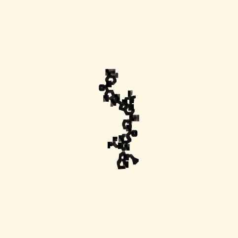 Cn1c(-c2cc3cc(N[C@@H]4CCCN(C(=O)c5cnc6c(c5)nc(-c5cc7cccnc7n5CC5CC5)n6CC(F)F)C4)cnc3n2CC(C)(F)F)nc2cc(C(=O)N3CCC[C@@H](N)C3)cnc21